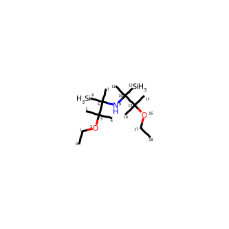 CCOC(C)(C)C(C)([SiH3])NC(C)([SiH3])C(C)(C)OCC